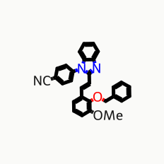 COc1cccc(C=Cc2nc3ccccc3n2-c2ccc(C#N)cc2)c1OCc1ccccc1